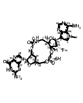 Cn1cc([C@@H]2O[C@@H]3CNS(=O)(=O)O[C@@H]4C[C@@H](CO[P@@](=O)(S)O[C@H]3[C@H]2F)O[C@@H]4n2cnc3c(=O)[nH]c(N)nc32)c2ncnc(N)c21